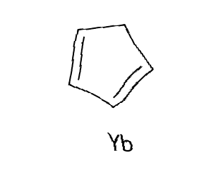 C1=CCC=C1.[Yb]